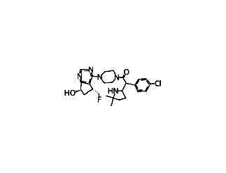 CC1(C)CCC(C(C(=O)N2CCN(c3ncnc4c3[C@H](CF)C[C@H]4O)CC2)c2ccc(Cl)cc2)N1